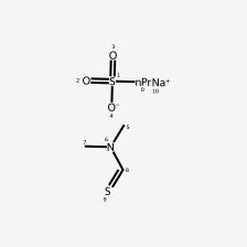 CCCS(=O)(=O)[O-].CN(C)C=S.[Na+]